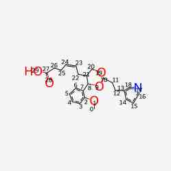 COc1ccccc1C1OC(CCc2cccnc2)OCC1C/C=C\CCC(=O)O